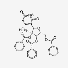 C#C[C@]1(OC(=O)c2ccccc2)C(n2ccc(=O)[nH]c2=O)O[C@H](COC(=O)c2ccccc2)[C@H]1OC(=O)c1ccccc1